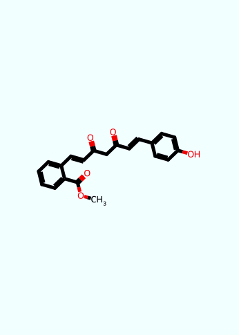 COC(=O)c1ccccc1C=CC(=O)CC(=O)C=Cc1ccc(O)cc1